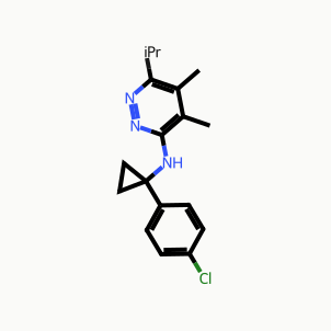 Cc1c(NC2(c3ccc(Cl)cc3)CC2)nnc(C(C)C)c1C